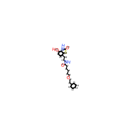 O=C(CCCCCOCCc1ccccc1)NCCc1ccc(O)c2[nH]c(=O)sc12